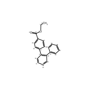 CCOC(=O)c1ccc(-c2ccncc2-c2ccccc2)cc1